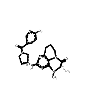 C[C@H]1C(=O)N2CCCc3nc(N[C@@H]4CCN(C(=O)c5ccc(C(F)(F)F)nc5)C4)nc(c32)N1C